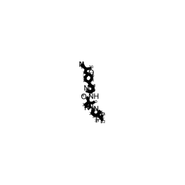 Cc1c(C(=O)Nc2ccc(C3CCC4(CC3)CC(C#N)CO4)nc2)cnn1-c1ccc(C(F)(F)F)cn1